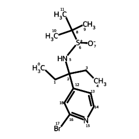 CCC(CC)(N[S+]([O-])C(C)(C)C)c1ccnc(Br)c1